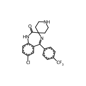 O=C1Nc2ccc(Cl)cc2C(c2ccc(C(F)(F)F)cc2)=NC12CCNCC2